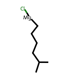 CC(C)CCC[CH2][Mg][Cl]